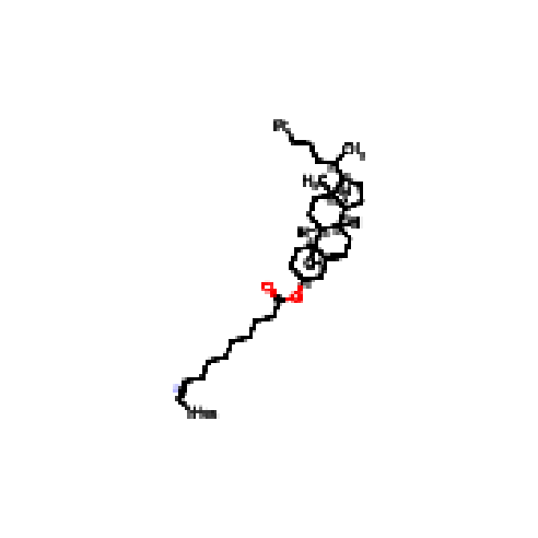 CCCCCC/C=C\CCCCCCCC(=O)O[C@H]1CC[C@@]2(C)C(=CC[C@H]3[C@@H]4CC[C@H]([C@H](C)CCCC(C)C)[C@@]4(C)CC[C@@H]32)C1